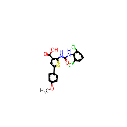 COc1ccc(-c2cc(C(=O)O)c(NC(=O)Nc3c(Cl)cccc3Cl)s2)cc1